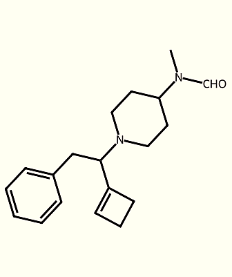 CN(C=O)C1CCN(C(Cc2ccccc2)C2=CCC2)CC1